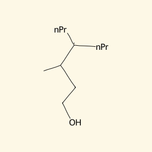 CCC[C](CCC)C(C)CCO